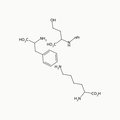 CCCNC(CCO)C(=O)O.NC(Cc1ccccc1)C(=O)O.NCCCCC(N)C(=O)O